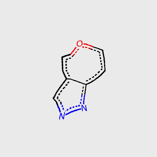 c1cc2nncc-2co1